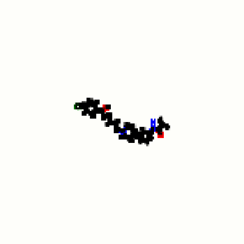 CC(C)C(=O)Nc1cccc(C2CCN(CCCCCC(=O)c3ccc(Cl)cc3)CC2)c1